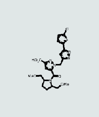 COCC1CCC(COC)N1C(=O)c1cc(C(=O)O)nn1Cc1cc(-c2ccc(Cl)s2)on1